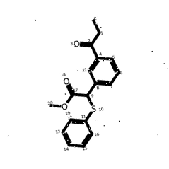 CCC(=O)c1cccc(C(Sc2ccccc2)C(=O)OC)c1